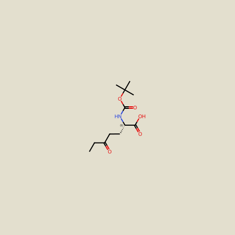 CCC(=O)CC[C@H](NC(=O)OC(C)(C)C)C(=O)O